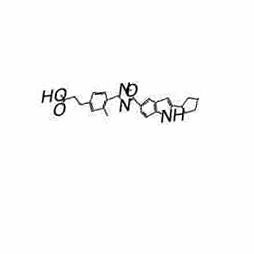 Cc1cc(CCC(=O)O)ccc1-c1noc(-c2ccc3[nH]c(C4CCCC4)cc3c2)n1